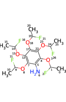 CC(F)Oc1c(N)c(OC(C)F)c(OC(C)F)c(OC(C)F)c1OC(C)F